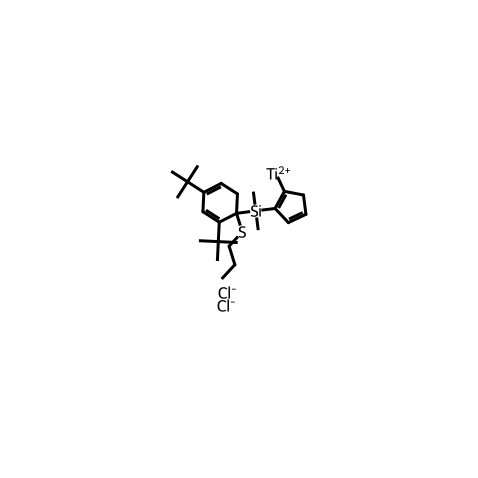 CCCSC1([Si](C)(C)C2=[C]([Ti+2])CC=C2)CC=C(C(C)(C)C)C=C1C(C)(C)C.[Cl-].[Cl-]